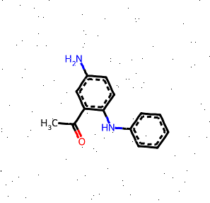 CC(=O)c1cc(N)ccc1Nc1ccccc1